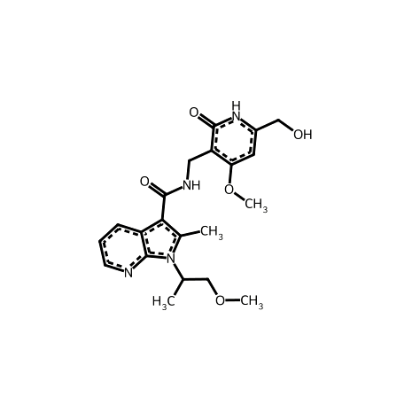 COCC(C)n1c(C)c(C(=O)NCc2c(OC)cc(CO)[nH]c2=O)c2cccnc21